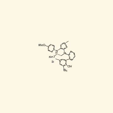 COCCN(c1cc(C)ccc1Nc1ccc(OC)cc1)c1ccccc1-c1cc(C)cc(C(C)(C)C)c1O.[Zr]